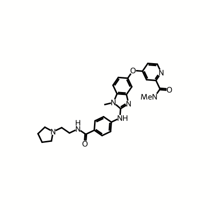 CNC(=O)c1cc(Oc2ccc3c(c2)nc(Nc2ccc(C(=O)NCCN4CCCC4)cc2)n3C)ccn1